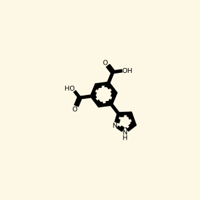 O=C(O)c1cc(C(=O)O)cc(-c2cc[nH]n2)c1